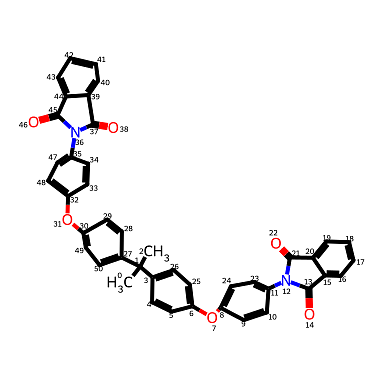 CC(C)(c1ccc(Oc2ccc(N3C(=O)c4ccccc4C3=O)cc2)cc1)c1ccc(Oc2ccc(N3C(=O)c4ccccc4C3=O)cc2)cc1